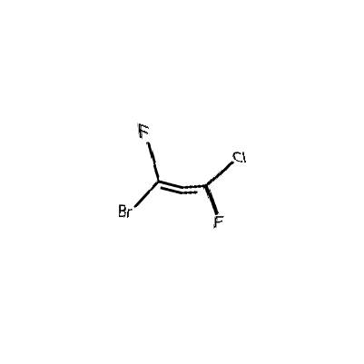 FC(Cl)=C(F)Br